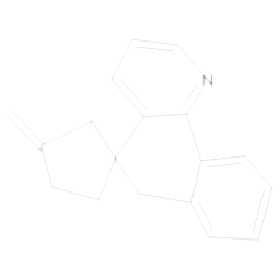 C=C1CCC2(C1)Cc1ccccc1-c1ncccc12